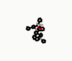 C1=CCC(C2=NC(c3ccc(-c4ccccc4)cc3-n3c4ccccc4c4c(-c5cccc6c5c5c7ccccc7ccc5n6-c5ccccc5)cccc43)=NC(c3ccccc3)N2)C=C1